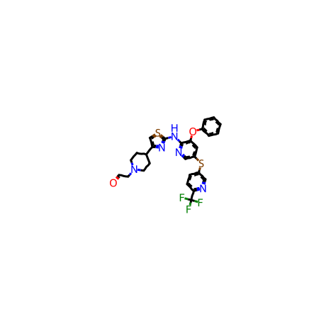 O=CCN1CCC(c2csc(Nc3ncc(Sc4ccc(C(F)(F)F)nc4)cc3Oc3ccccc3)n2)CC1